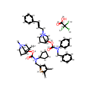 Cc1cc(CN(C(=O)O[C@H]2C[N+]3(C)CCC2CC3)C2CCCC2)sc1C.O=C(O)C(F)(F)F.O=C(OC1C[N+]2(CC=Cc3ccccc3)CCC1CC2)N(Cc1ccccc1)c1ccccc1